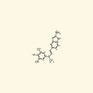 NC1=Cc2cc(/C=C/C(c3cc(Cl)c(F)c(Cl)c3)C(F)(F)F)ccc2[N]1